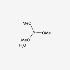 CON(OC)OC.O